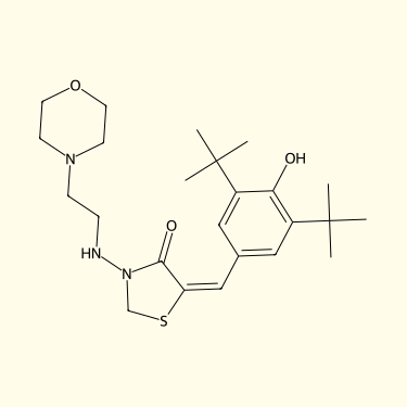 CC(C)(C)c1cc(C=C2SCN(NCCN3CCOCC3)C2=O)cc(C(C)(C)C)c1O